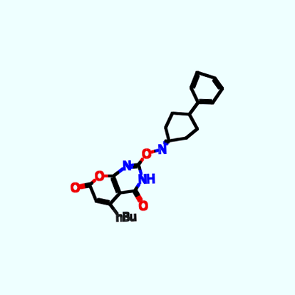 CCCCc1cc(=O)oc2nc(ON=C3CCC(c4ccccc4)CC3)[nH]c(=O)c12